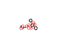 CC1(C)OCC(COC(=O)OC2=C(c3ccccc3)S(=O)(=O)C(c3ccccc3)C2=O)O1